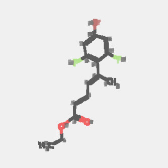 CCOC(=O)/C=C/C=C(\C)c1c(F)cc(Br)cc1F